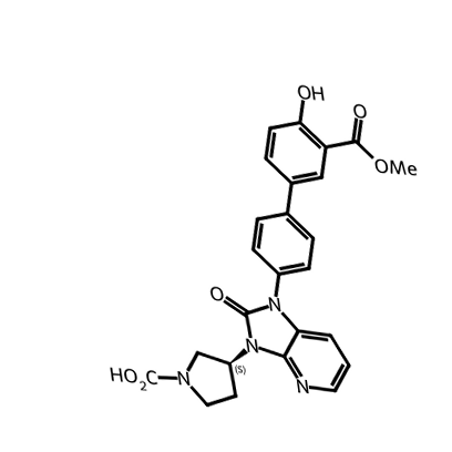 COC(=O)c1cc(-c2ccc(-n3c(=O)n([C@H]4CCN(C(=O)O)C4)c4ncccc43)cc2)ccc1O